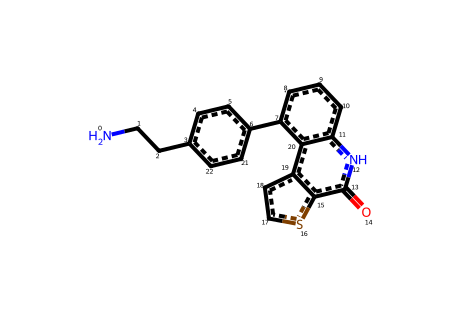 NCCc1ccc(-c2[c]ccc3[nH]c(=O)c4sccc4c23)cc1